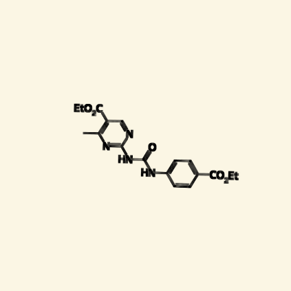 CCOC(=O)c1ccc(NC(=O)Nc2ncc(C(=O)OCC)c(C)n2)cc1